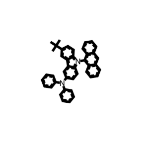 CC(C)(C)c1ccc2c(c1)c1cc(N(c3ccccc3)c3ccccc3)ccc1n2-c1c2ccccc2cc2ccccc12